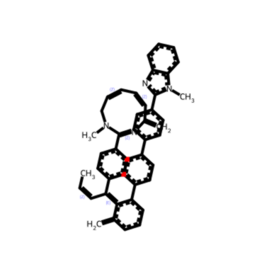 C=C1/C=C\C=C/CN(C)/C(c2ccc(C(/C=C\C)=c3\c(-c4ccc(-c5ccc(-c6nc7ccccc7n6C)cc5)cc4)cccc3=C)cc2)=N\1